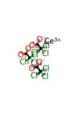 O=C([O-])C(Cl)(Cl)Cl.O=C([O-])C(Cl)(Cl)Cl.O=C([O-])C(Cl)(Cl)Cl.[Ce+3]